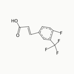 O=C(O)/C=C/c1ccc(F)c(C(F)(F)F)c1